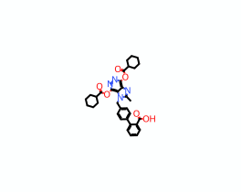 Cc1nc2c(OC(=O)C3CCCCC3)nnc(OC(=O)C3CCCCC3)c2n1Cc1ccc(-c2ccccc2C(=O)O)cc1